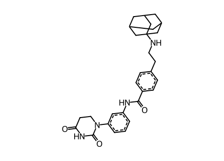 O=C1CCN(c2cccc(NC(=O)c3ccc(CCNC45CC6CC(CC(C6)C4)C5)cc3)c2)C(=O)N1